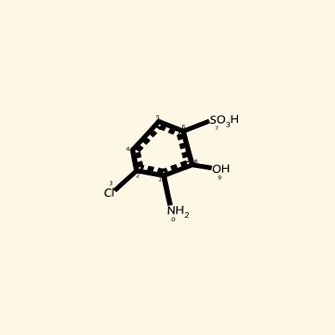 Nc1c(Cl)ccc(S(=O)(=O)O)c1O